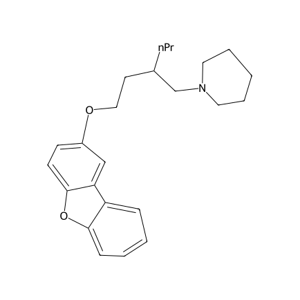 CCCC(CCOc1ccc2oc3ccccc3c2c1)CN1CCCCC1